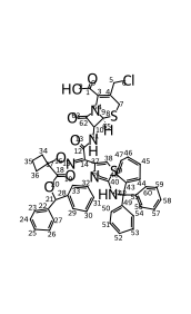 O=C(O)C1=C(CCl)CS[C@H]2C(NC(=O)/C(=N\OC3(C(=O)OC(c4ccccc4)c4ccccc4)CCC3)c3csc(NC(c4ccccc4)(c4ccccc4)c4ccccc4)n3)C(=O)N12